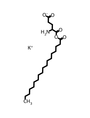 CCCCCCCCCCCCCCCCCC(=O)OC(=O)C(N)CCC(=O)[O-].[K+]